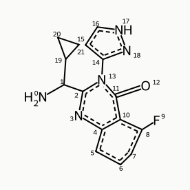 NC(c1nc2cccc(F)c2c(=O)n1-c1cc[nH]n1)C1CC1